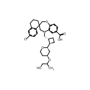 CC(CO)O[C@H]1CCO[C@@H]([C@@H]2CC[C@H]2CN2CC3(CCCc4cc(Cl)ccc43)COc3ccc(C(=O)O)cc32)C1